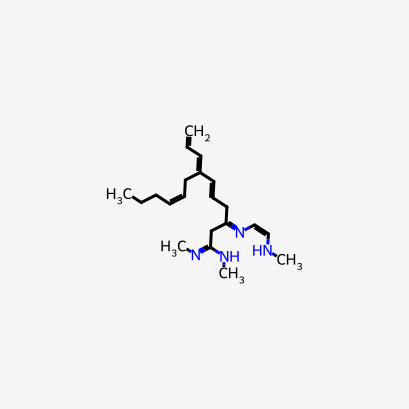 C=C/C=C(/C=C/C/C(C/C(=N\C)NC)=N\C=C/NC)C/C=C\CCC